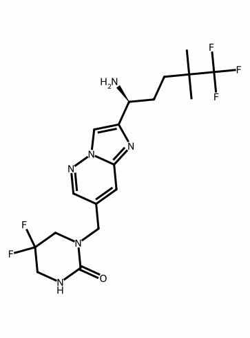 CC(C)(CC[C@H](N)c1cn2ncc(CN3CC(F)(F)CNC3=O)cc2n1)C(F)(F)F